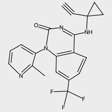 C#CC1(Nc2nc(=O)n(-c3cccnc3C)c3cc(C(F)(F)F)ccc23)CC1